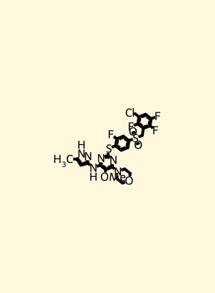 COc1c(Nc2cc(C)[nH]n2)nc(Sc2ccc(S(=O)(=O)Cc3c(F)c(F)cc(Cl)c3F)cc2F)nc1N1CCOCC1